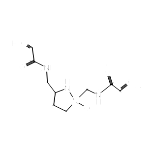 C=CC(=O)NCC1CC[N+]([O-])(CNC(=O)C=C)N1